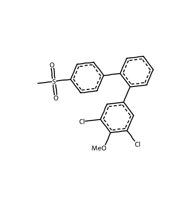 COc1c(Cl)cc(-c2ccccc2-c2ccc(S(C)(=O)=O)cc2)cc1Cl